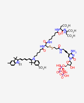 CC[N+]1=C(/C=C/C=C/C=C2/N(CCCCCC(=O)NC(CSSCCC(=O)NCC#Cc3cn([C@H]4CC(O)[C@@H](COP(=O)(O)OP(=O)(O)OP(=O)(O)O)O4)c(=O)nc3N)C(=O)NCCCCCC(=O)NC(CC(=O)O)C(=O)NC(CC(=O)O)C(=O)O)c3ccc(S(=O)(=O)O)cc3C2(C)C)C(C)(C)c2cc(C)ccc21